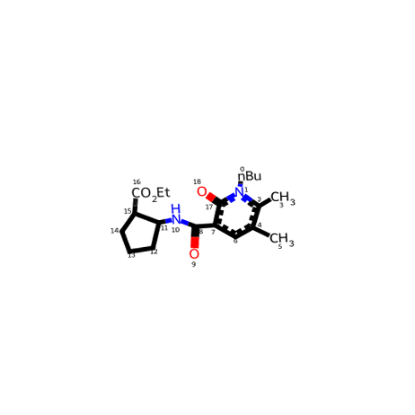 CCCCn1c(C)c(C)cc(C(=O)NC2CCCC2C(=O)OCC)c1=O